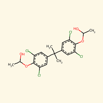 CC(O)Oc1c(Cl)cc(C(C)(C)c2cc(Cl)c(OC(C)O)c(Cl)c2)cc1Cl